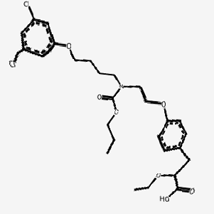 CCCOC(=O)N(CCCCOc1cc(Cl)cc(Cl)c1)CCOc1ccc(CC(OCC)C(=O)O)cc1